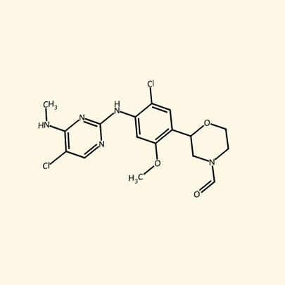 CNc1nc(Nc2cc(OC)c(C3CN(C=O)CCO3)cc2Cl)ncc1Cl